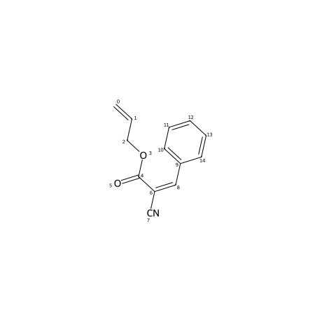 C=CCOC(=O)C(C#N)=Cc1ccccc1